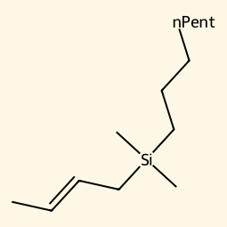 CC=CC[Si](C)(C)CCCCCCCC